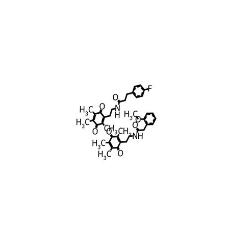 CC1=C(C)C(=O)C(CCNC(=O)CCc2ccc(F)cc2)=C(C)C1=O.COc1ccccc1CC(=O)NCCC1=C(C)C(=O)C(C)=C(C)C1=O